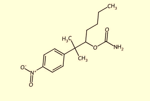 CCCCC(OC(N)=O)C(C)(C)c1ccc([N+](=O)[O-])cc1